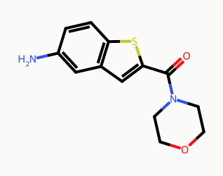 Nc1ccc2sc(C(=O)N3CCOCC3)cc2c1